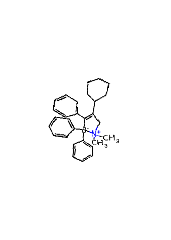 C[N+]1(C)CC(C2CCCCC2)=C(c2ccccc2)[B-]1(c1ccccc1)c1ccccc1